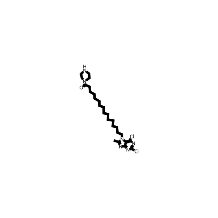 Cc1nc2nc(Cl)nc(Cl)c2n1CCCCCCCCCCCCCCCC(=O)N1CCNCC1